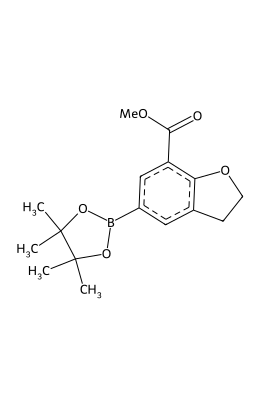 COC(=O)c1cc(B2OC(C)(C)C(C)(C)O2)cc2c1OCC2